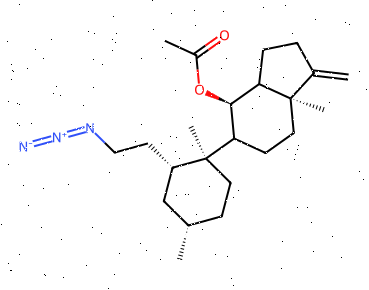 C=C1CCC2[C@H](OC(C)=O)C([C@@]3(C)CC[C@H](C)C[C@@H]3CCN=[N+]=[N-])CC[C@]12C